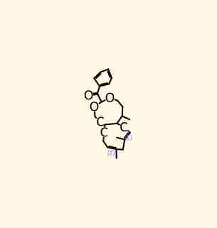 C/C1=C/CCC2CCOC(C(=O)c3ccccc3)OCCC(C)C2C/C=C(\C)C1